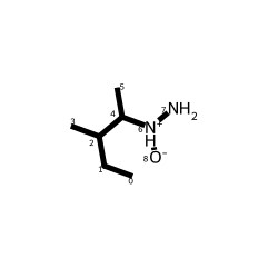 CCC(C)C(C)[NH+](N)[O-]